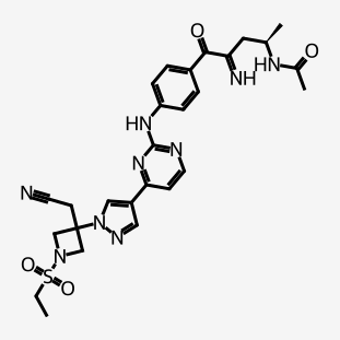 CCS(=O)(=O)N1CC(CC#N)(n2cc(-c3ccnc(Nc4ccc(C(=O)C(=N)C[C@@H](C)NC(C)=O)cc4)n3)cn2)C1